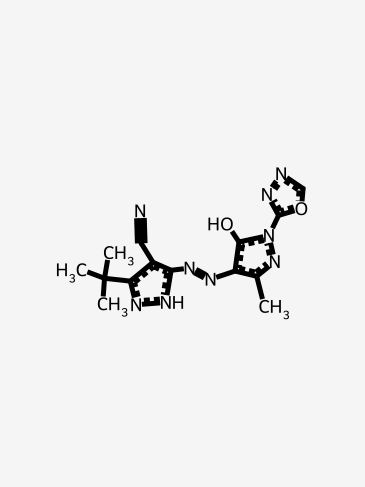 Cc1nn(-c2nnco2)c(O)c1/N=N/c1[nH]nc(C(C)(C)C)c1C#N